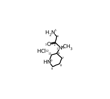 CN(C(=O)CN)C1CCCNC1.Cl